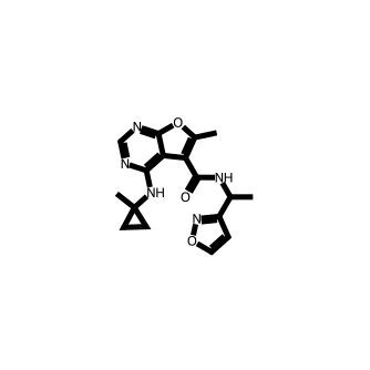 Cc1oc2ncnc(NC3(C)CC3)c2c1C(=O)NC(C)c1ccon1